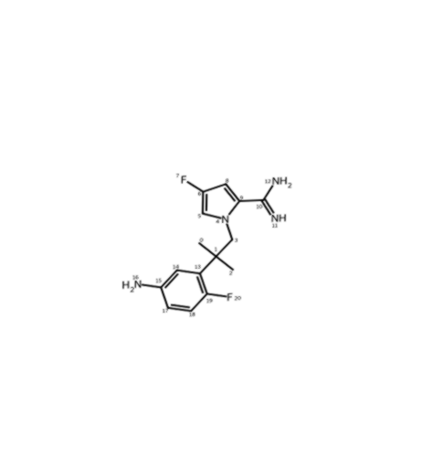 CC(C)(Cn1cc(F)cc1C(=N)N)c1cc(N)ccc1F